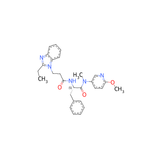 CCc1nc2ccccc2n1CCC(=O)N[C@@H](Cc1ccccc1)C(=O)N(C)c1ccc(OC)nc1